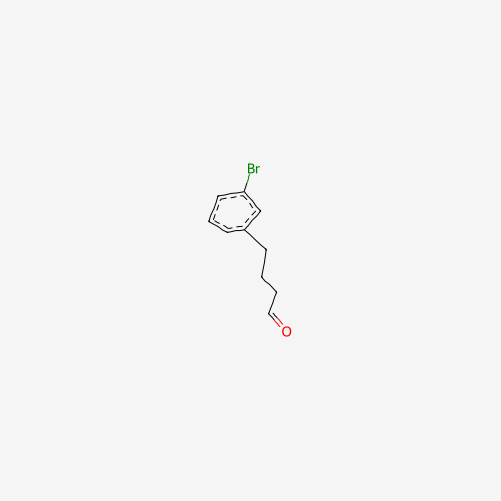 O=CCCCc1cccc(Br)c1